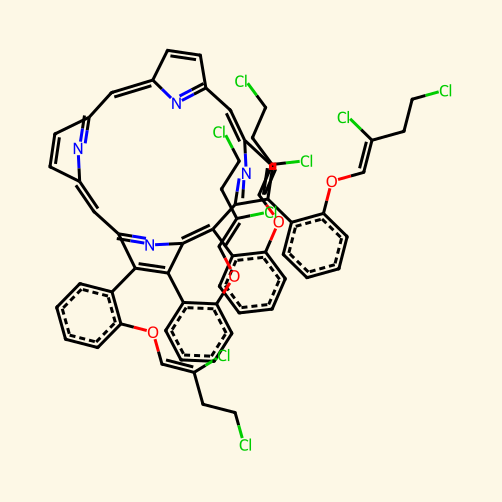 ClCCC(Cl)=COc1ccccc1C1=CC2=CC3=NC(=CC4=NC(=CC5=NC(=C(c6ccccc6OC=C(Cl)CCCl)C1=N2)C(c1ccccc1OC=C(Cl)CCCl)=C5c1ccccc1OC=C(Cl)CCCl)C=C4)C=C3